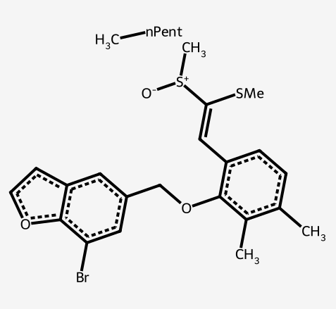 CCCCCC.CS/C(=C\c1ccc(C)c(C)c1OCc1cc(Br)c2occc2c1)[S+](C)[O-]